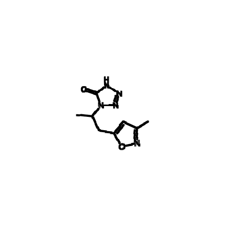 Cc1cc(CC(C)n2nn[nH]c2=O)on1